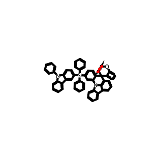 c1ccc(-n2c3ccccc3c3cc([Si](c4ccccc4)(c4ccccc4)c4ccc5c(c4)-n4c6ccccc6c6cccc(c64)C54c5ccccc5Oc5ccccc54)ccc32)cc1